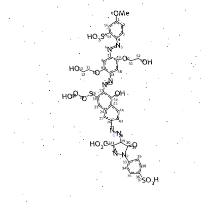 COc1ccc(N=Nc2cc(OCCO)c(N=Nc3c(SOOO)cc4cc(/N=N/C5C(=O)N(c6ccc(S(=O)(=O)O)cc6)N=C5C(=O)O)ccc4c3O)cc2OCCO)c(S(=O)(=O)O)c1